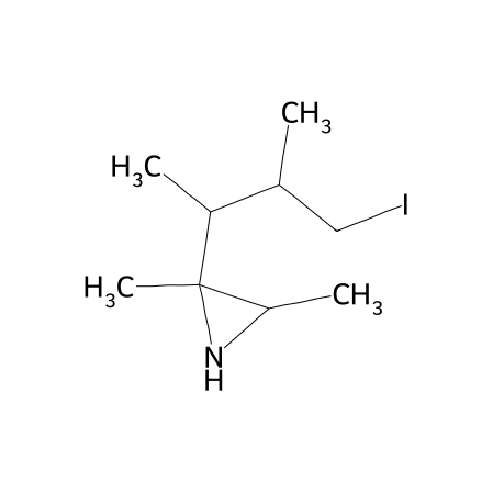 CC(CI)C(C)C1(C)NC1C